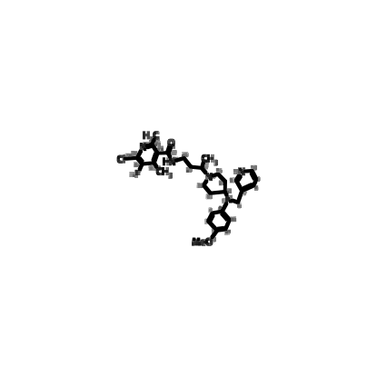 COc1ccc(N(Cc2cccnc2)C2CCN(C(C)CCNC(=O)c3c(C)nc(Cl)c(F)c3C)CC2)cc1